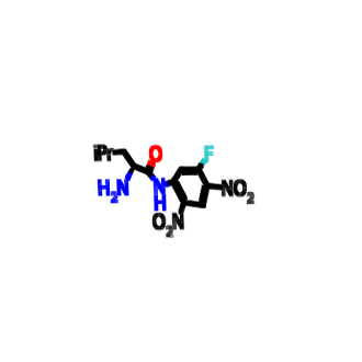 CC(C)C[C@H](N)C(=O)Nc1cc(F)c([N+](=O)[O-])cc1[N+](=O)[O-]